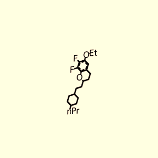 CCCC1CCC(CCC2CCc3cc(OCC)c(F)c(F)c3O2)CC1